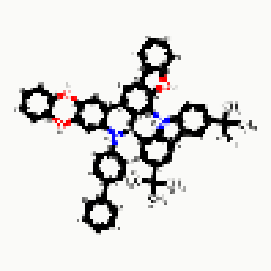 CC(C)(C)c1ccc2c(c1)c1cc(C(C)(C)C)cc3c1n2-c1c2c(cc4c1oc1ccccc14)-c1cc4c(cc1N(c1ccc(-c5ccccc5)cc1)B23)Oc1ccccc1O4